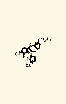 CCn1ccc(-n2c(C)c(Sc3cccc(C(=O)O)c3)c3ccc(Cl)c(F)c32)n1